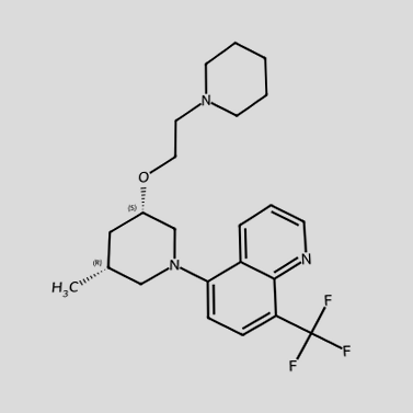 C[C@@H]1C[C@H](OCCN2CCCCC2)CN(c2ccc(C(F)(F)F)c3ncccc23)C1